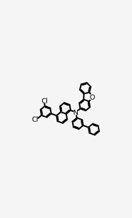 Clc1cc(Cl)cc(-c2cccc3c(N(c4cccc(-c5ccccc5)c4)c4ccc5oc6ccccc6c5c4)cccc23)c1